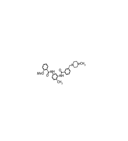 COc1ccccc1C(=O)Nc1ccc(C)c(NC(=O)c2cccc(CN3CCN(C)CC3)c2)c1